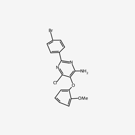 COc1ccccc1Oc1c(N)nc(-c2ccc(Br)cc2)nc1Cl